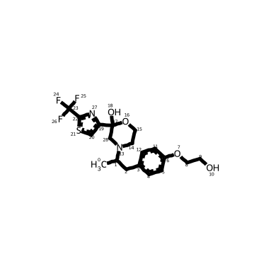 CC(Cc1ccc(OCCO)cc1)N1CCOC(O)(c2csc(C(F)(F)F)n2)C1